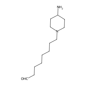 NC1CCN(CCCCCCCC=O)CC1